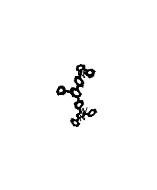 c1ccc(-c2cc(-c3ccc(-c4cc(-c5ccccc5)nc(-c5ccccc5)n4)cc3)cc(-c3ccc(-n4c5ccccc5c5ccccc54)cc3)c2)cc1